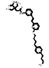 CCCCc1ccc(CCCCOc2cccc(C=Cc3cccc(NC(=O)CC(CC)(CC)C(=O)O)c3)n2)cc1